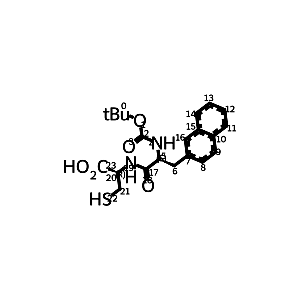 CC(C)(C)OC(=O)N[C@@H](Cc1ccc2ccccc2c1)C(=O)N[C@@H](CS)C(=O)O